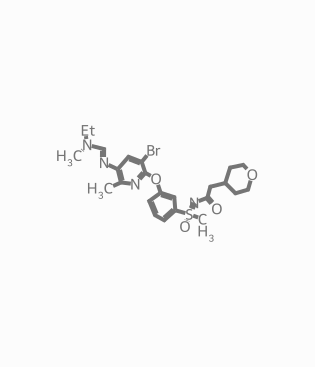 CCN(C)/C=N/c1cc(Br)c(Oc2cccc(S(C)(=O)=NC(=O)CC3CCOCC3)c2)nc1C